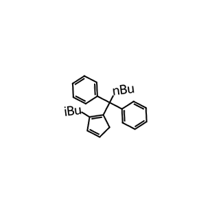 CCCCC(C1=C(C(C)CC)C=CC1)(c1ccccc1)c1ccccc1